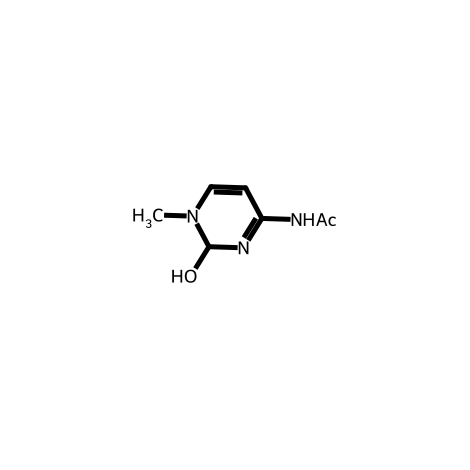 CC(=O)NC1=NC(O)N(C)C=C1